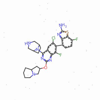 Nc1nc2c(-c3c(Cl)cc4c(N5C6CCC5CNC6)nc(OC5CC6CCCCN6C5)nc4c3F)ccc(F)c2s1